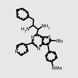 CNc1ccc(-c2c(C(C)(C)C)sc3c(C(N)C(N)Cc4ccccc4)nc(-c4ccncc4)nc23)cc1